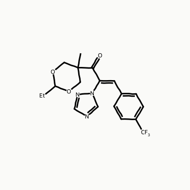 CCC1OCC(C)(C(=O)C(=Cc2ccc(C(F)(F)F)cc2)n2cncn2)CO1